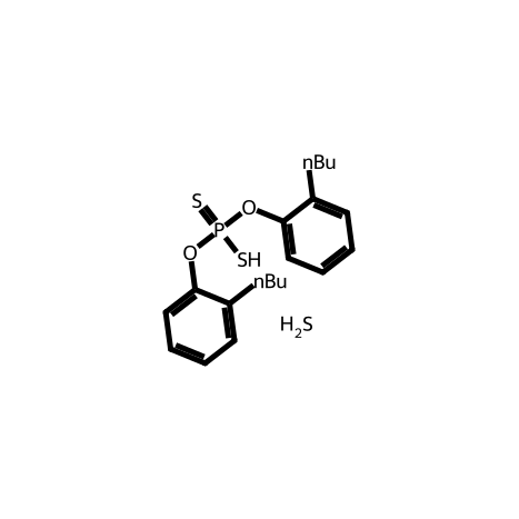 CCCCc1ccccc1OP(=S)(S)Oc1ccccc1CCCC.S